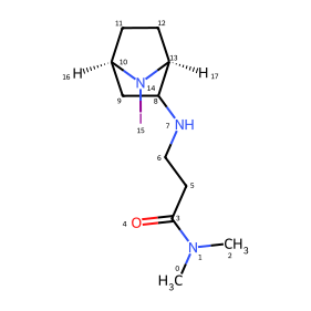 CN(C)C(=O)CCNC1C[C@H]2CC[C@@H]1N2I